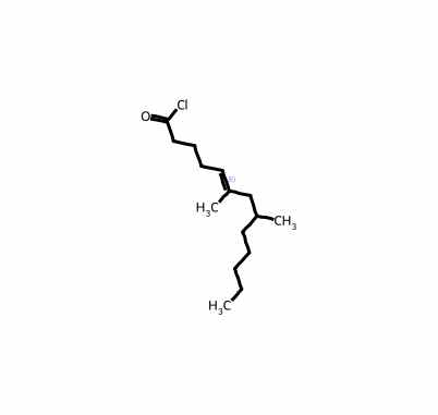 CCCCCC(C)C/C(C)=C/CCCC(=O)Cl